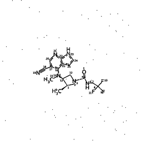 C[C@@H]1CN(C(=O)NCC(F)(F)F)C[C@@H]1N(C)c1c(C#N)cnc2[nH]ccc12